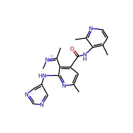 C/N=C(/C)c1c(C(=O)Nc2c(C)ccnc2C)cc(C)nc1Nc1cncnc1